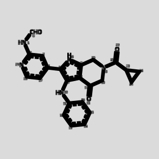 O=CNc1cc(-c2[nH]c3c(c2Nc2ccccc2)C(=O)CN(C(=O)C2CC2)C3)ccn1